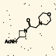 CC(=O)NC1CN(C(=O)CN2CCOCC2)C1